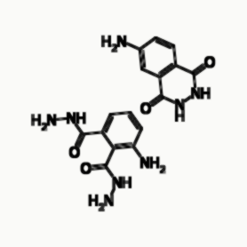 NNC(=O)c1cccc(N)c1C(=O)NN.Nc1ccc2c(=O)[nH][nH]c(=O)c2c1